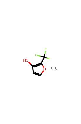 C.Oc1ccoc1C(F)(F)F